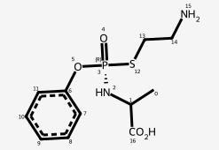 CC(N[P@@](=O)(Oc1ccccc1)SCCN)C(=O)O